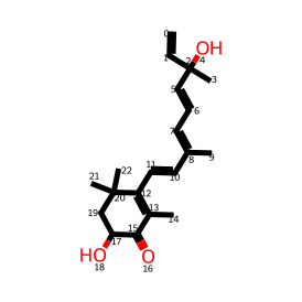 C=CC(C)(O)C=CC=C(C)C=CC1=C(C)C(=O)C(O)CC1(C)C